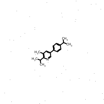 Cc1cc(-c2ccc(C(C)C)cc2)cnc1C(C)C